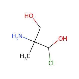 CC(N)(CO)C(O)Cl